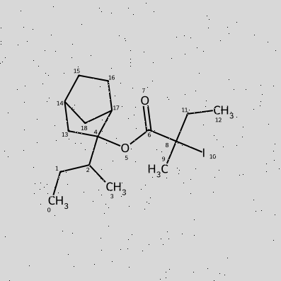 CCC(C)C1(OC(=O)C(C)(I)CC)CC2CCC1C2